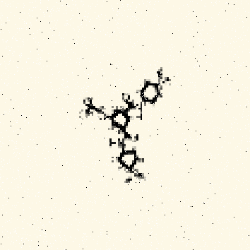 CN(C)[C@H]1CC[C@H](NC(=O)c2cc(OCC(=O)Cl)cc(C(=O)N[C@H]3CC[C@H](N(C)C)CC3)c2)CC1